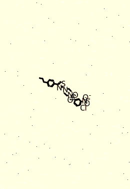 CCCc1ccc(-c2csc(N3CCN(S(=O)(=O)c4ccc(Cl)c([N+](=O)[O-])c4)CC3)n2)cc1